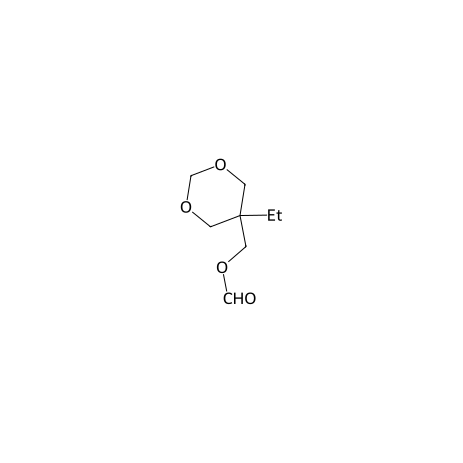 CCC1(COC=O)COCOC1